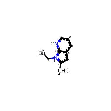 CCC(C)Cn1c(C=O)cc2cccnc21